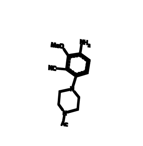 COc1c(N)ccc(N2CCN(C(C)=O)CC2)c1C#N